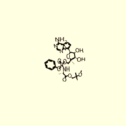 COC(C)(C)COC(=O)[C@H](C)NP(=O)(OC[C@@]1(C)O[C@@H](c2ccc3c(N)ncnn23)[C@H](O)[C@@H]1O)Oc1ccccc1